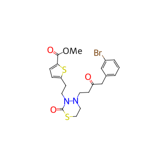 COC(=O)c1ccc(CCN2C(=O)SCCN2CCC(=O)Cc2cccc(Br)c2)s1